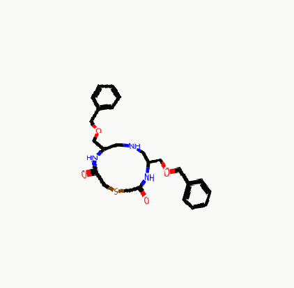 O=C1CSCC(=O)NC(COCc2ccccc2)CNCC(COCc2ccccc2)N1